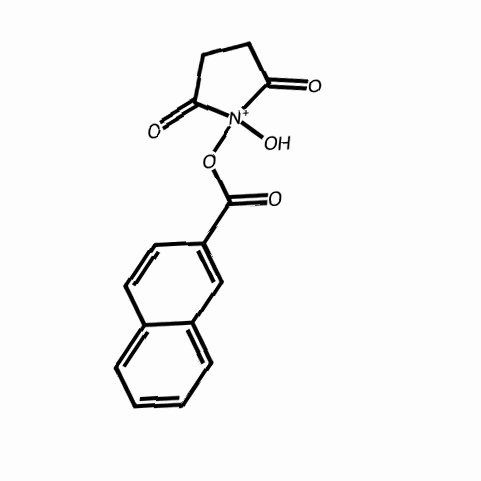 O=C(O[N+]1(O)C(=O)CCC1=O)c1ccc2ccccc2c1